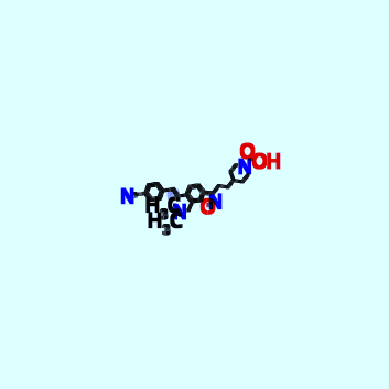 CN(C)Cc1c(/C=C/c2ccc(C#N)cc2)ccc2c(CCC3CCN(C(=O)O)CC3)noc12